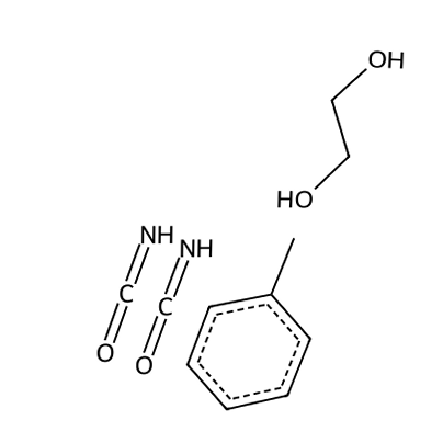 Cc1ccccc1.N=C=O.N=C=O.OCCO